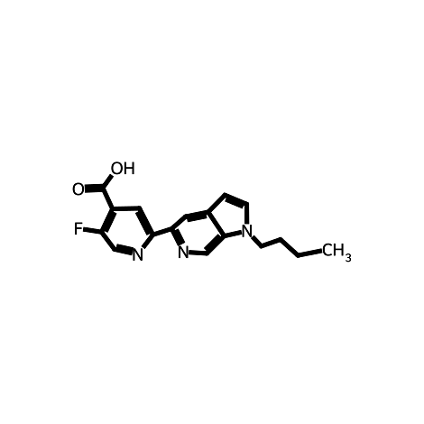 CCCCn1ccc2cc(-c3cc(C(=O)O)c(F)cn3)ncc21